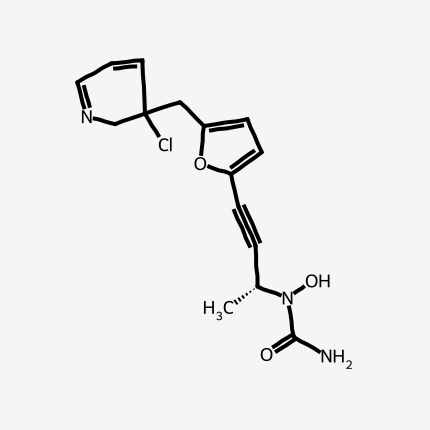 C[C@H](C#Cc1ccc(CC2(Cl)C=CC=NC2)o1)N(O)C(N)=O